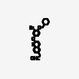 O=CCc1ccc2nc(Oc3ccc(OCC4CCCCC4)c(Br)c3)ccc2c1